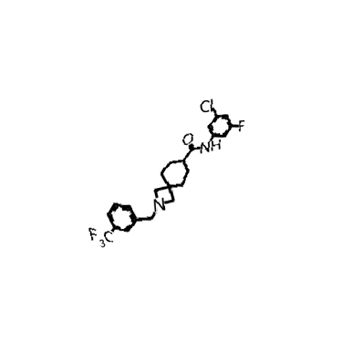 O=C(Nc1cc(F)cc(Cl)c1)C1CCC2(CC1)CN(Cc1cccc(C(F)(F)F)c1)C2